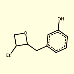 CCC1COC1Cc1cccc(O)c1